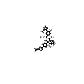 [CH2][C@@H](c1ccc(Cl)c(-c2ncnn2C(F)F)c1)N1C(=N)N[C@](CC(C)(C)C(F)(F)F)(c2ccc(-c3cnn(C4CC4)n3)cc2)C1=O